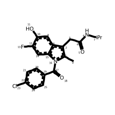 Cc1c(CC(=O)NC(C)C)c2cc(O)c(F)cc2n1C(=O)c1ccc(Cl)cc1